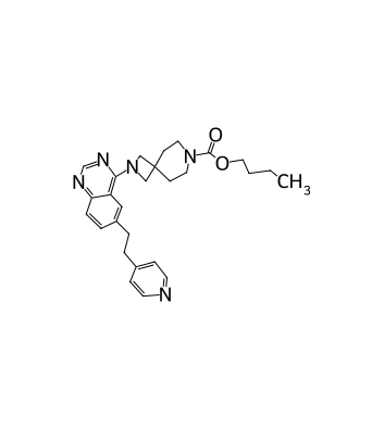 CCCCOC(=O)N1CCC2(CC1)CN(c1ncnc3ccc(CCc4ccncc4)cc13)C2